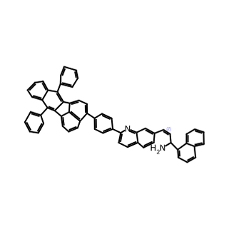 NC(/C=C\c1ccc2ccc(-c3ccc(-c4ccc5c6c(cccc46)-c4c-5c(-c5ccccc5)c5ccccc5c4-c4ccccc4)cc3)nc2c1)c1cccc2ccccc12